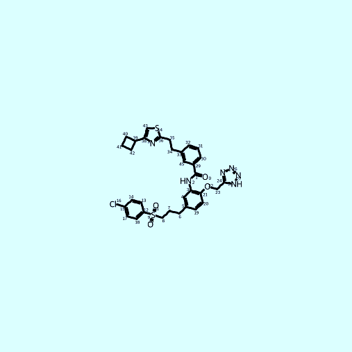 O=C(Nc1cc(CCCS(=O)(=O)c2ccc(Cl)cc2)ccc1OCc1nnn[nH]1)c1cccc(CCc2nc(C3CCC3)cs2)c1